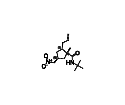 C=CC[C@@H]1C[C@H](C[N+](=O)[O-])C[C@@]1(C)C(=O)NC(C)(C)C